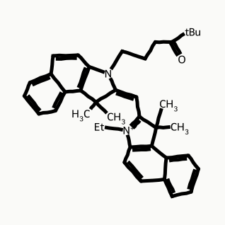 CC[N+]1=C(/C=C2/N(CCCC(=O)C(C)(C)C)c3ccc4ccccc4c3C2(C)C)C(C)(C)c2c1ccc1ccccc21